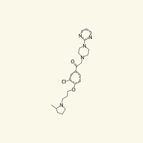 CC1CCCN1CCCOc1ccc(C(=O)CN2CCN(c3ncccn3)CC2)cc1Cl